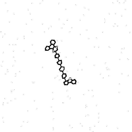 C1=C(c2ccc(-c3ccc(-c4cnc5c6ccccc6c6ccccc6c5n4)cc3)cc2)CCC(c2ccc(-c3cccc4c3oc3ccccc34)cc2)=C1